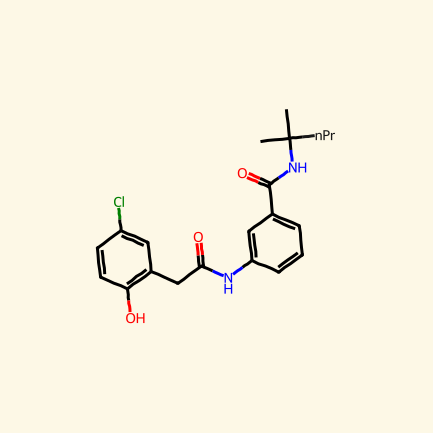 CCCC(C)(C)NC(=O)c1cccc(NC(=O)Cc2cc(Cl)ccc2O)c1